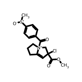 COC(=O)C1(Cl)C=C2CCC[N+]2(C(=O)c2ccc([S+](C)[O-])cc2)C1